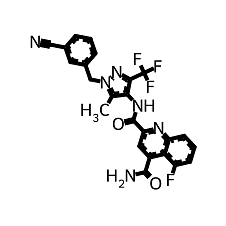 Cc1c(NC(=O)c2cc(C(N)=O)c3c(F)cccc3n2)c(C(F)(F)F)nn1Cc1cccc(C#N)c1